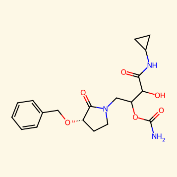 NC(=O)OC(CN1CC[C@H](OCc2ccccc2)C1=O)C(O)C(=O)NC1CC1